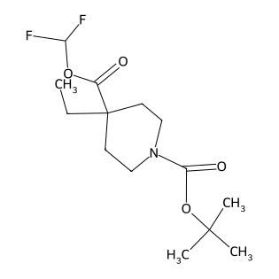 CCC1(C(=O)OC(F)F)CCN(C(=O)OC(C)(C)C)CC1